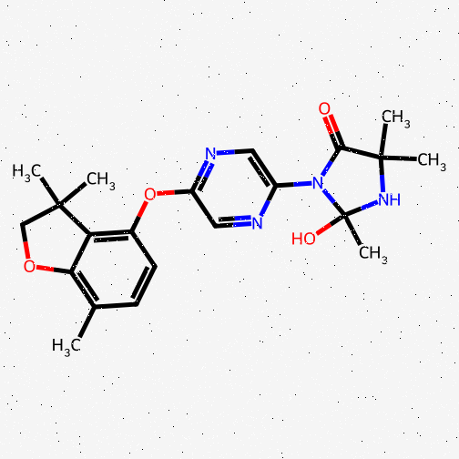 Cc1ccc(Oc2cnc(N3C(=O)C(C)(C)NC3(C)O)cn2)c2c1OCC2(C)C